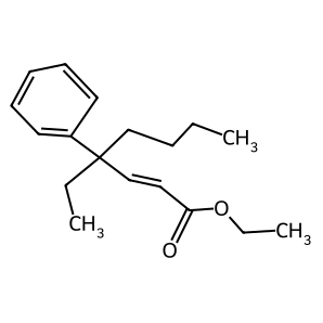 CCCCC(/C=C/C(=O)OCC)(CC)c1ccccc1